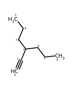 C#CC([CH]CC)CCC